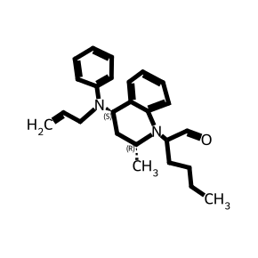 C=CCN(c1ccccc1)[C@H]1C[C@@H](C)N(C(C=O)CCCC)c2ccccc21